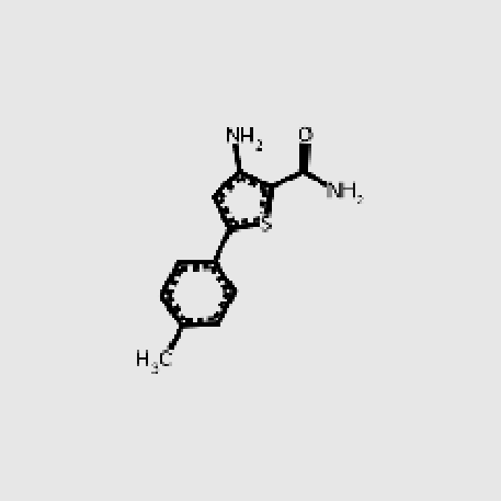 Cc1ccc(-c2cc(N)c(C(N)=O)s2)cc1